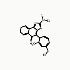 CCOC1=CC=CC(C2=C3N=C(N(CC)CC)N=C3C3=CCCC=C3C2=O)C(C)=C1